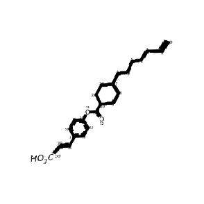 C=CCCCCCC1CCC(C(=O)Oc2ccc(/C=C/C(=O)O)cc2)CC1